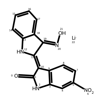 O=C1Nc2cc([N+](=O)[O-])ccc2/C1=C1/Nc2ccccc2/C1=N\O.[Li]